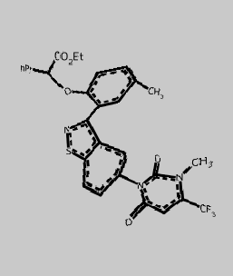 CCCC(Oc1ccc(C)cc1-c1nsc2ccc(-n3c(=O)cc(C(F)(F)F)n(C)c3=O)cc12)C(=O)OCC